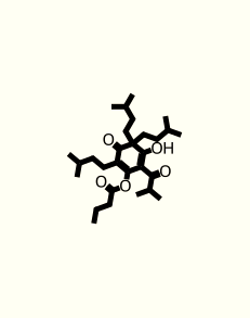 CCCC(=O)OC1=C(CCC(C)C)C(=O)C(CCC(C)C)(CCC(C)C)C(O)=C1C(=O)C(C)C